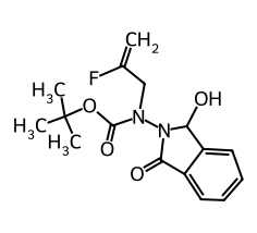 C=C(F)CN(C(=O)OC(C)(C)C)N1C(=O)c2ccccc2C1O